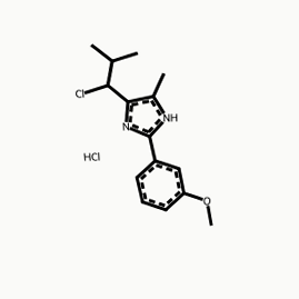 COc1cccc(-c2nc(C(Cl)C(C)C)c(C)[nH]2)c1.Cl